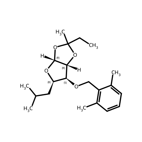 CCC1(C)O[C@H]2O[C@H](CC(C)C)[C@H](OCc3c(C)cccc3C)[C@H]2O1